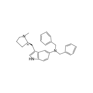 CN1CCC[C@@H]1Cc1c[nH]c2ccc(N(Cc3ccccc3)Cc3ccccc3)cc12